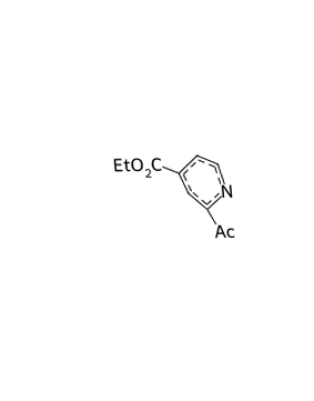 CCOC(=O)c1ccnc(C(C)=O)c1